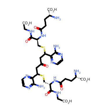 Nc1nccnc1C(CC(=O)CC(SC[C@H](NC(=O)CC[C@H](N)C(=O)O)C(=O)NCC(=O)O)c1nccnc1N)SC[C@H](NC(=O)CC[C@@H](N)C(=O)O)C(=O)NCC(=O)O